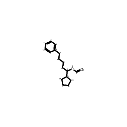 O=COC(CCCCc1ccccc1)C1CCCC1